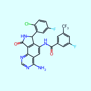 Nc1ncnc2c3c(c(NC(=O)c4cc(F)cc(C(F)(F)F)c4)cc12)C(c1cc(F)ccc1Cl)NC3=O